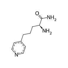 NC(=O)[C@@H](N)CCCc1ccncc1